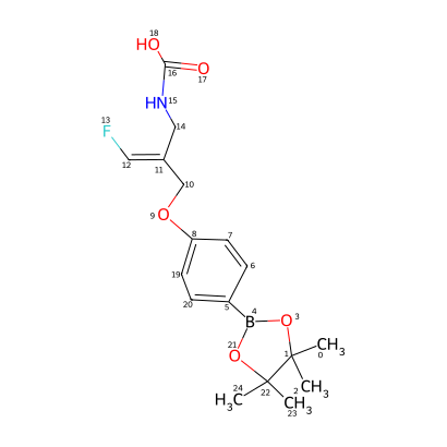 CC1(C)OB(c2ccc(OCC(=CF)CNC(=O)O)cc2)OC1(C)C